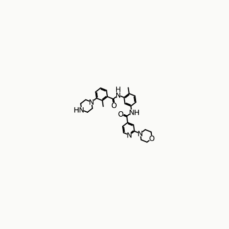 Cc1ccc(NC(=O)c2ccnc(N3CCOCC3)c2)cc1NC(=O)c1cccc(N2CCNCC2)c1C